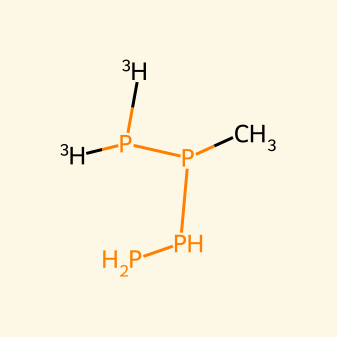 [3H]P([3H])P(C)PP